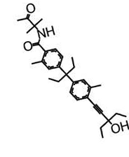 CCC(O)(C#Cc1ccc(C(CC)(CC)c2ccc(C(=O)NC(C)(C)C(C)=O)c(C)c2)cc1C)CC